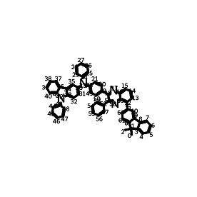 CC1(C)c2ccccc2-c2cc(-c3cccc4nc(-c5ccc(N(c6ccccc6)c6ccc7c(c6)c6ccccc6n7-c6ccccc6)cc5)c(-c5ccccc5)nc34)ccc21